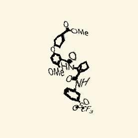 COC(=O)C1CCC(Oc2ccc(OC)c(C(=O)NC3C4CCC(C4)C3C(=O)Nc3cccc(S(=O)(=O)C(F)(F)F)c3)c2)CC1